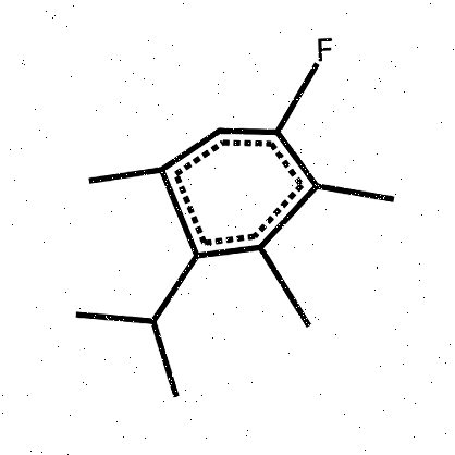 Cc1cc(F)c(C)c(C)c1C(C)C